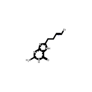 CC/C=C/CCc1nc2nc(N)[nH]c(=O)c2[nH]1